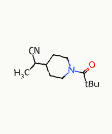 CC(C#N)C1CCN(C(=O)C(C)(C)C)CC1